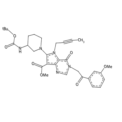 CC#CCn1c(N2CCCC(NC(=O)OC(C)(C)C)C2)c(C(=O)OC)c2ncn(CC(=O)c3cccc(OC)c3)c(=O)c21